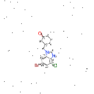 O=C1CCCC(Cn2cnc3c(Cl)cc(Br)cc32)C1